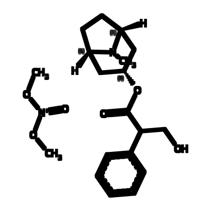 CN1[C@@H]2CC[C@H]1C[C@@H](OC(=O)C(CO)c1ccccc1)C2.CO[N+](=O)OC